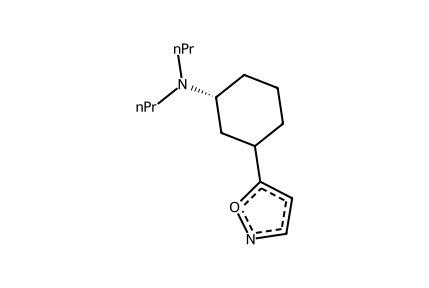 CCCN(CCC)[C@@H]1CCCC(c2ccno2)C1